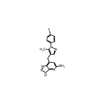 Cc1c(Cc2cc(N)nc3[nH]nnc23)cnn1-c1ccc(F)cc1